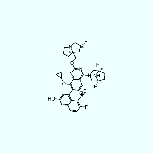 C#Cc1c(F)ccc2cc(O)cc(-c3c(Cl)cc4c(N5C[C@H]6CC[C@@H](C5)N6)nc(OC[C@@]56CCCN5C[C@H](F)C6)nc4c3OC3CC3)c12